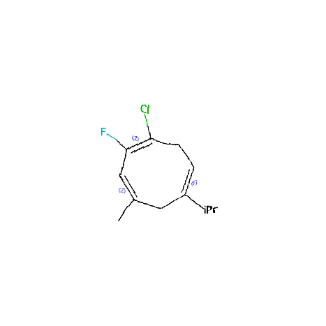 C/C1=C/C(F)=C(/Cl)C/C=C(/C(C)C)C1